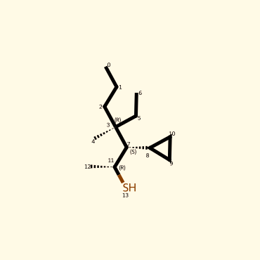 CCC[C@@](C)(CC)[C@H](C1CC1)[C@@H](C)S